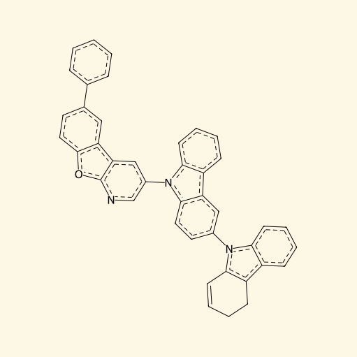 C1=Cc2c(c3ccccc3n2-c2ccc3c(c2)c2ccccc2n3-c2cnc3oc4ccc(-c5ccccc5)cc4c3c2)CC1